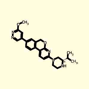 COc1cc(-c2ccc3c(c2)COc2nc(N4CCN[C@@H](C(C)C)C4)ccc2-3)cnn1